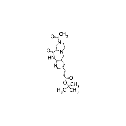 CC(=O)N1CCN2Cc3cc(/C=C/C(=O)OC(C)(C)C)cnc3NC(=O)C2C1